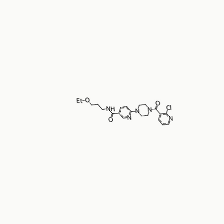 CCOCCCNC(=O)c1ccc(N2CCN(C(=O)c3cccnc3Cl)CC2)nc1